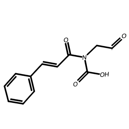 O=[C]CN(C(=O)O)C(=O)C=Cc1ccccc1